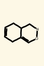 C1=CCC2C[N]OC=C2C1